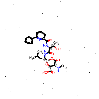 CN[C@H]1C(=O)OB([C@H](CC(C)C)NC(=O)[C@@H](NC(=O)c2cccc(-c3ccccc3)n2)[C@@H](C)O)O[C@H]1C(=O)O